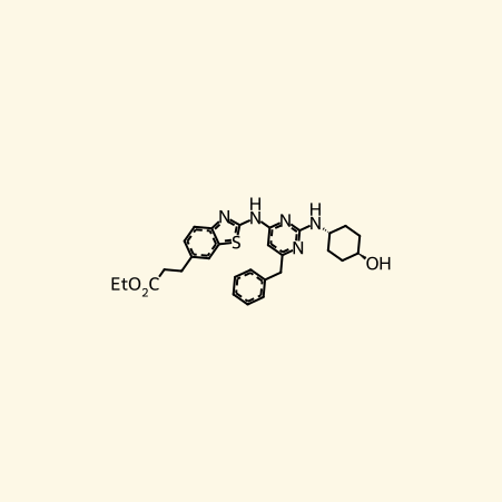 CCOC(=O)CCc1ccc2nc(Nc3cc(Cc4ccccc4)nc(N[C@H]4CC[C@H](O)CC4)n3)sc2c1